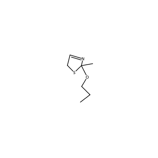 CCCOC1(C)N=CCS1